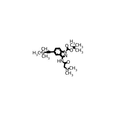 CN(C)CC(=O)Nc1nn(C(=O)OC(C)(C)C)c2ccc(C#C[Si](C)(C)C)cc12